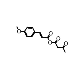 COc1ccc(/C=C/C(=O)OC(=O)CC(C)=O)cc1